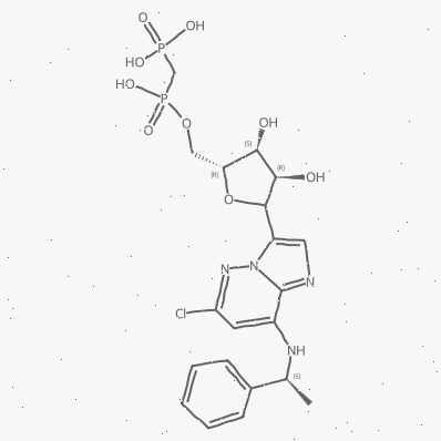 C[C@H](Nc1cc(Cl)nn2c(C3O[C@H](COP(=O)(O)CP(=O)(O)O)[C@@H](O)[C@H]3O)cnc12)c1ccccc1